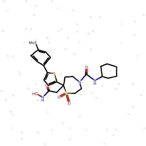 CSc1ccc(-c2ccc(C3(CC(=O)NO)CCN(C(=O)NC4CCCCC4)CCS3(=O)=O)s2)cc1